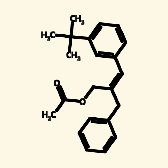 CC(=O)OCC(=Cc1cccc(C(C)(C)C)c1)Cc1ccccc1